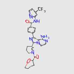 Nc1nccn2c(C3CCCN(C(=O)C4CCCO4)C3)nc(-c3ccc(C(=O)Nc4cc(C(F)(F)F)ccn4)cc3)c12